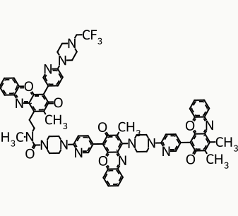 Cc1c2nc3ccccc3oc-2c(-c2ccc(N3CCN(c4c5nc6ccccc6oc-5c(-c5ccc(N6CCN(C(=O)N(C)CCc7c8nc9ccccc9oc-8c(-c8ccc(N9CCN(CC(F)(F)F)CC9)nc8)c(=O)c7C)CC6)nc5)c(=O)c4C)CC3)nc2)c(=O)c1C